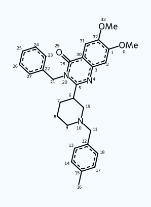 COc1cc2nc(C3CCCN(Cc4ccc(C)cc4)C3)n(Cc3ccccc3)c(=O)c2cc1OC